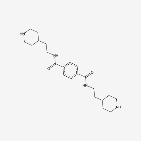 O=C(NCCC1CCNCC1)c1ccc(C(=O)NCCC2CCNCC2)cc1